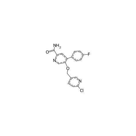 NC(=O)c1cc(-c2ccc(F)cc2)c(OCc2ccc(Cl)nc2)cn1